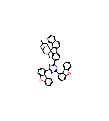 CC1CC2CC(C)C3(c4cc(-c5nc(-c6cccc7oc8ccccc8c67)nc(-c6cccc7oc8ccccc8c67)n5)ccc4-c4ccc5ccccc5c43)C(C1)C2